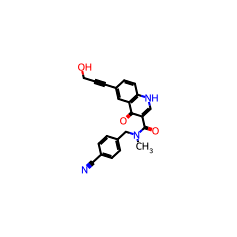 CN(Cc1ccc(C#N)cc1)C(=O)c1c[nH]c2ccc(C#CCO)cc2c1=O